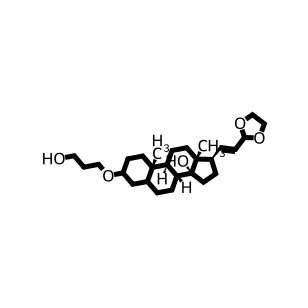 C[C@]12CCC(OCCCO)CC1CC[C@@H]1[C@@H]2CC[C@]2(C)[C@@H](/C=C/C3OCCO3)CC[C@@]12O